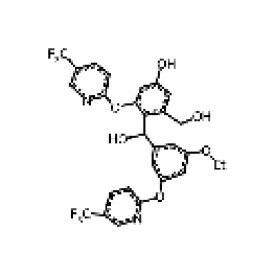 CCOc1cc(Oc2ccc(C(F)(F)F)cn2)cc(C(O)c2c(CO)cc(O)cc2Oc2ccc(C(F)(F)F)cn2)c1